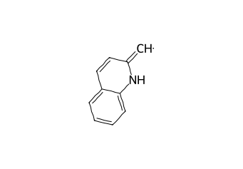 [CH]=C1C=Cc2ccccc2N1